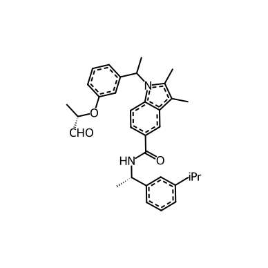 Cc1c(C)n(C(C)c2cccc(O[C@@H](C)C=O)c2)c2ccc(C(=O)N[C@@H](C)c3cccc(C(C)C)c3)cc12